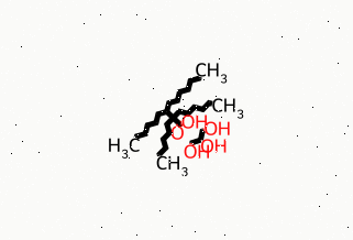 CCCCCCCC(CCCCCC)C(CCCCCC)(CCCCCC)C(=O)O.OCC(O)CO